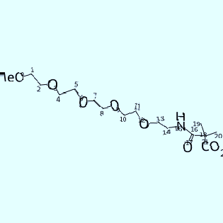 COCCOCCOCCOCCOCCNC(=O)C(C)(C)C(=O)O